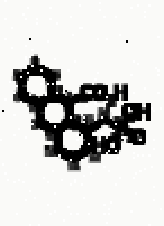 O=C(O)c1c2ccccc2cc2cccc(CP(=O)(O)O)c12